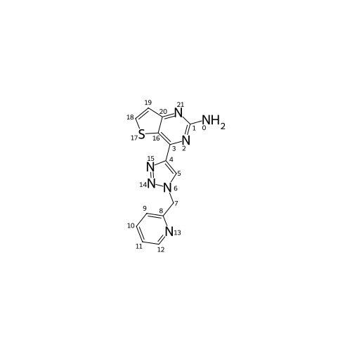 Nc1nc(-c2cn(Cc3ccccn3)nn2)c2sccc2n1